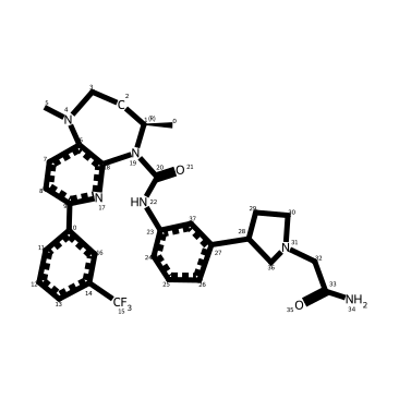 C[C@@H]1CCN(C)c2ccc(-c3cccc(C(F)(F)F)c3)nc2N1C(=O)Nc1cccc(C2CCN(CC(N)=O)C2)c1